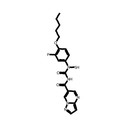 CCCCCOc1ccc(N(S)C(=O)NC(=O)c2cnc3ccnn3c2)cc1F